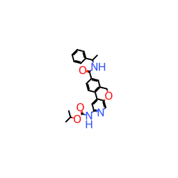 CC(C)OC(=O)Nc1cc2c(cn1)OCc1cc(C(=O)NC(C)c3ccccc3)ccc1-2